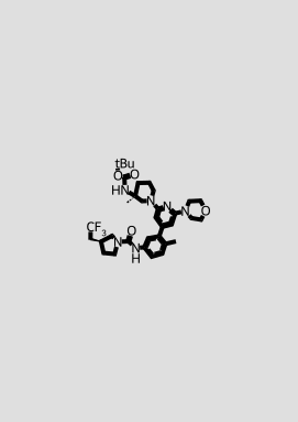 Cc1ccc(NC(=O)N2CC[C@@H](CC(F)(F)F)C2)cc1-c1cc(N2CCOCC2)nc(N2CCC[C@](C)(NC(=O)OC(C)(C)C)C2)c1